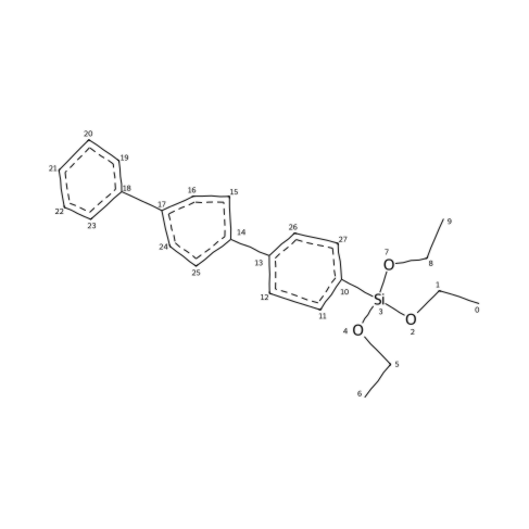 CCO[Si](OCC)(OCC)c1ccc(-c2ccc(-c3ccccc3)cc2)cc1